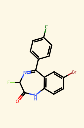 O=C1Nc2ccc(Br)cc2C(c2ccc(Cl)cc2)=NC1F